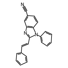 N#Cc1ccc2c(c1)nc(C=Cc1ccccc1)n2-c1ccccc1